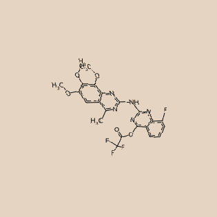 COc1cc2c(C)nc(Nc3nc(OC(=O)C(F)(F)F)c4cccc(F)c4n3)nc2c(OC)c1OC